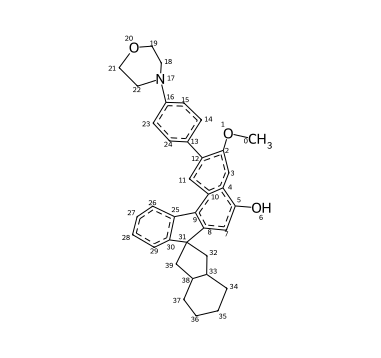 COc1cc2c(O)cc3c(c2cc1-c1ccc(N2CCOCC2)cc1)-c1ccccc1C31CC2CCCCC2C1